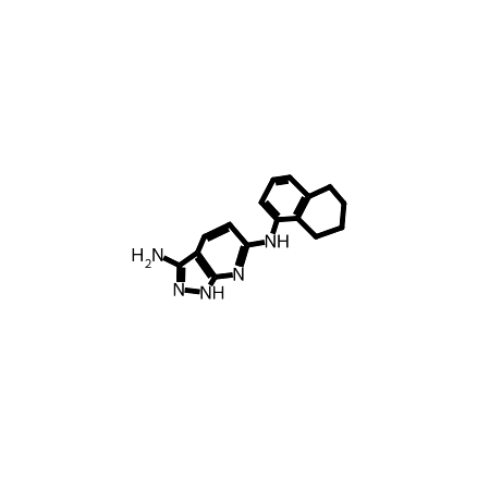 Nc1n[nH]c2nc(Nc3cccc4c3CCCC4)ccc12